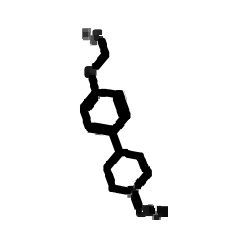 O=C(O)N1CCC(c2ccc(OCC(F)(F)F)cc2)CC1